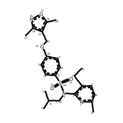 CCc1ccc(C)nc1N(CC(C)C)S(=O)(=O)c1ccc(OCc2c(C)noc2C)cc1